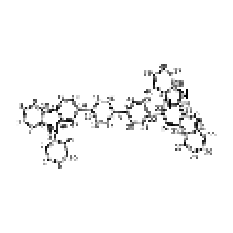 c1ccc(-n2c3ccccc3c3ccc(-c4ccc(-c5ccc(-c6cc7c8ccccc8sc7c7nc8ccccc8n67)cc5)cc4)cc32)cc1